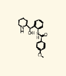 COc1ccc(C(=O)Nc2ccccc2C(O)C2CCCCN2)cc1